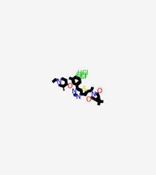 CCN1CC[C@@H](Oc2c(C)cc(Cl)cc2-c2ncnc3cc(C(C)N4C(=O)C5C(C4=O)C5(C)C)sc23)[C@@H](C)C1.Cl.Cl